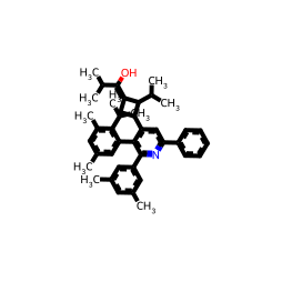 Cc1cc(C)cc(-c2nc(-c3ccccc3)cc(C3C/C(=C(/O)C(C)C)C3C(C)C)c2-c2cc(C)cc(C)c2C(C)C)c1